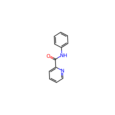 O=C(Nc1ccccc1)c1ccccn1